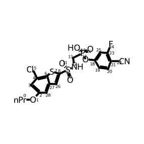 CCCOc1cc(Cl)c2sc(S(=O)(=O)NCP(=O)(O)Oc3ccc(C#N)c(F)c3)cc2c1